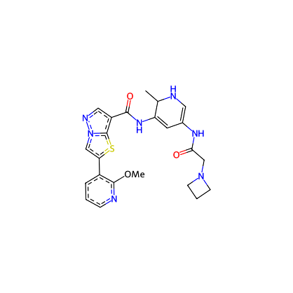 COc1ncccc1-c1cn2ncc(C(=O)NC3=CC(NC(=O)CN4CCC4)=CNC3C)c2s1